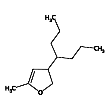 CCCC(CCC)C1C=C(C)OC1